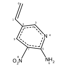 C=Cc1cnc(N)c([N+](=O)[O-])c1